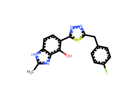 Cc1nc2c(O)c(-c3nnc(Cc4ccc(F)cc4)s3)ccc2[nH]1